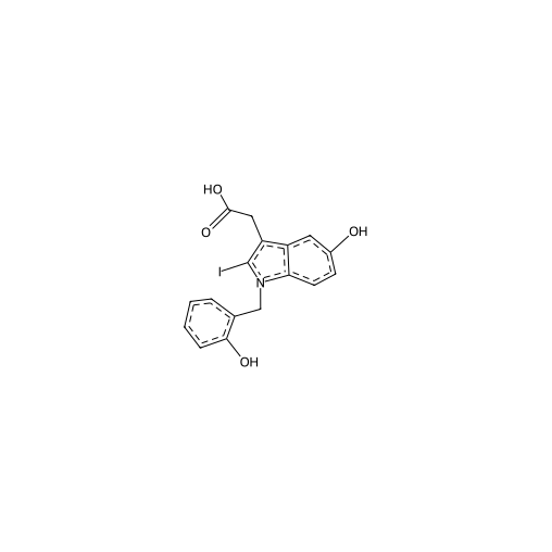 O=C(O)Cc1c(I)n(Cc2ccccc2O)c2ccc(O)cc12